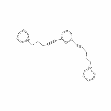 C(#Cc1cccc(C#CCCC[n+]2ccccc2)c1)CCC[n+]1ccccc1